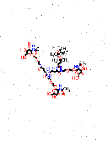 CC(=O)NC1C(OCCOCCNC(=O)CCC(NC(=O)CCC(NC(=O)CCC(C)(C)OCC(C)(C)OC(C)(C)C)C(=O)NCCOCCOC2OC(CO)C(O)C(O)C2NC(C)=O)C(=O)NCCOCCOC2OC(CO)C(O)C(O)C2NC(C)=O)OC(CO)C(O)C1O